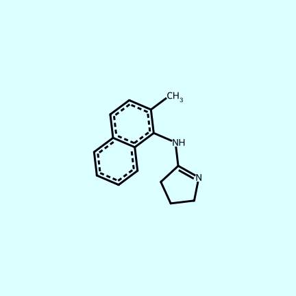 Cc1ccc2ccccc2c1NC1=NCCC1